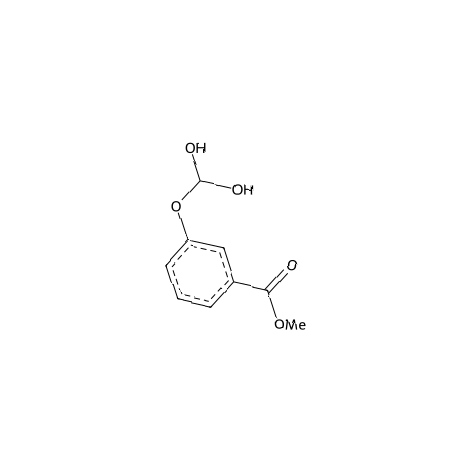 COC(=O)c1cccc(OC(O)O)c1